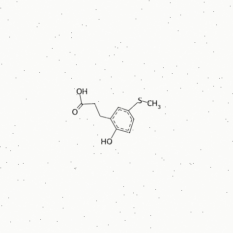 CSc1ccc(O)c(CCC(=O)O)c1